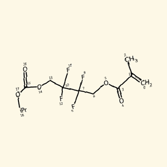 C=C(C)C(=O)OCC(F)(F)C(F)(F)COC(=O)OC(C)C